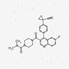 CN(C)C(=O)N1CCN(C(=O)c2cnc3ccc(F)cc3c2-c2ccc(C3(C#N)CC3)cc2)CC1